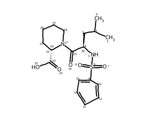 CC(C)C[C@@H](NS(=O)(=O)c1ccccc1)C(=O)N1CCCC[C@H]1C(=O)O